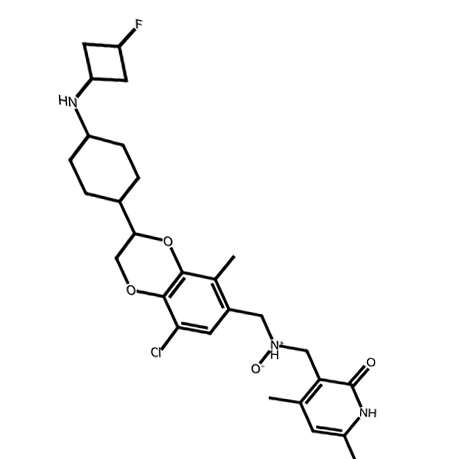 Cc1cc(C)c(C[NH+]([O-])Cc2cc(Cl)c3c(c2C)OC(C2CCC(NC4CC(F)C4)CC2)CO3)c(=O)[nH]1